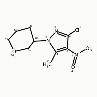 Cc1c([N+](=O)[O-])c(Cl)nn1C1CCCOC1